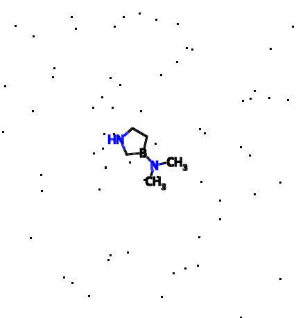 CN(C)B1CCNC1